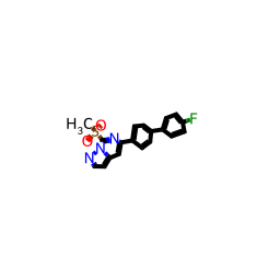 CS(=O)(=O)c1nc(-c2ccc(-c3ccc(F)cc3)cc2)cc2ccnn12